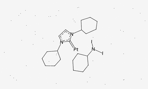 IN(I)C1CCCCC1.[Pt]=[c]1n(C2CCCCC2)ccn1C1CCCCC1